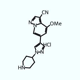 COc1cc(-c2cnn(C3CCNCC3)c2)cn2ncc(C#N)c12.Cl